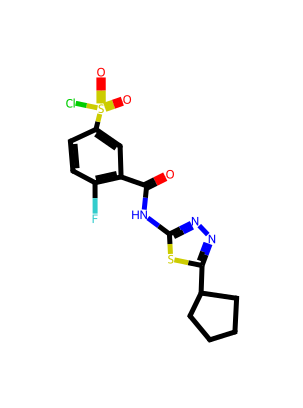 O=C(Nc1nnc(C2CCCC2)s1)c1cc(S(=O)(=O)Cl)ccc1F